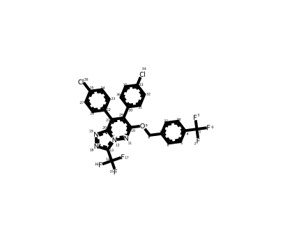 FC(F)(F)c1ccc(COc2nn3c(C(F)(F)F)nnc3c(-c3ccc(Cl)cc3)c2-c2ccc(Cl)cc2)cc1